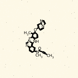 CC#CC(=O)N(C)c1ccc2ncnc(Nc3ccc(Oc4ccn5ccnc5c4)c(C)c3F)c2c1